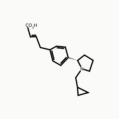 O=C(O)/C=C/Cc1ccc([C@@H]2CCCN2CC2CC2)cc1